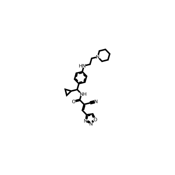 N#C/C(=C\c1conn1)C(=O)NC(c1ccc(NCCN2CCCCC2)cc1)C1CC1